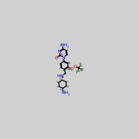 Nc1ccn(-c2ccc(CN[C@H]3CC[C@H](N)CC3)c(OOC(F)(F)F)c2)c(=O)n1